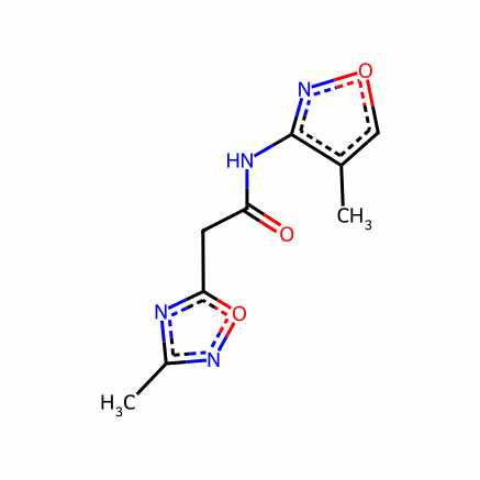 Cc1noc(CC(=O)Nc2nocc2C)n1